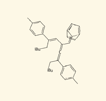 CCC(C)CC(=C=C(C=C1C2=CC=C1C=C2)C=C(CC(C)CC)c1ccc(C)cc1)c1ccc(C)cc1